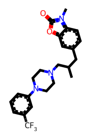 CC(Cc1ccc2c(c1)oc(=O)n2C)CN1CCN(c2cccc(C(F)(F)F)c2)CC1